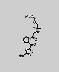 COCOCC(C)(C)NCC(=O)N1CCCC1C(=O)c1noc(C(C)(C)C)n1